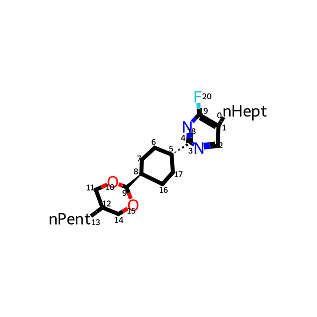 CCCCCCCc1cnc([C@H]2CC[C@H](C3OCC(CCCCC)CO3)CC2)nc1F